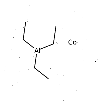 C[CH2][Al]([CH2]C)[CH2]C.[Co]